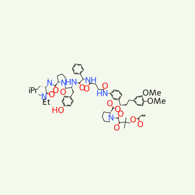 C=CC(=O)OCC(C)(C)C(=O)C(=O)N1CCCC[C@H]1C(=O)O[C@H](CCc1ccc(OC)c(OC)c1)c1cccc(NC(=O)CCC(=O)NC(C(=O)N[C@@H](Cc2ccc(O)cc2)C(=O)N2CCC[C@@H]2C(=O)N(C)[C@@H](CC(C)C)C(=O)N(C)CC)c2ccccc2)c1